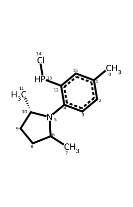 Cc1ccc(N2C(C)CC[C@@H]2C)c(PCl)c1